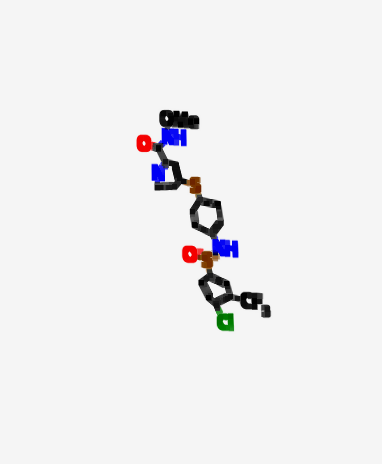 CONC(=O)c1cc(Sc2ccc(N[S+]([O-])c3ccc(Cl)c(C(F)(F)F)c3)cc2)ccn1